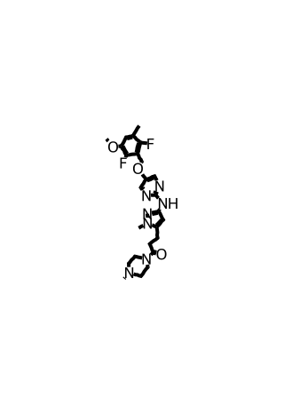 COc1cc(C)c(F)c(COc2cnc(Nc3cc(CCC(=O)N4CCN(C)CC4)n(C)n3)nc2)c1F